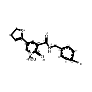 CCCCn1cc(C2=CCCS2)cc(C(=O)NCc2ccc(F)cc2)c1=O